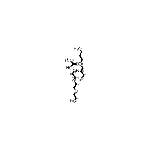 CC(=O)O.CCCCOCCCC.OCCOCCOCCO